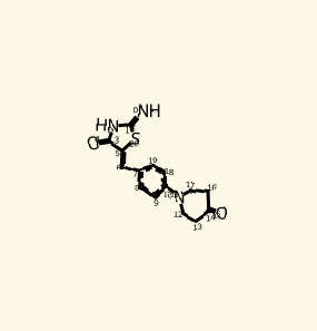 N=C1NC(=O)C(=Cc2ccc(N3CCC(=O)CC3)cc2)S1